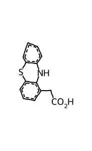 O=C(O)Cc1cccc2c1Nc1ccccc1S2